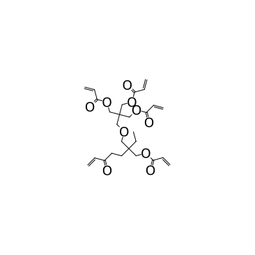 C=CC(=O)CCC(CC)(COCC(COC(=O)C=C)(COC(=O)C=C)COC(=O)C=C)COC(=O)C=C